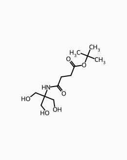 CC(C)(C)OC(=O)CCC(=O)NC(CO)(CO)CO